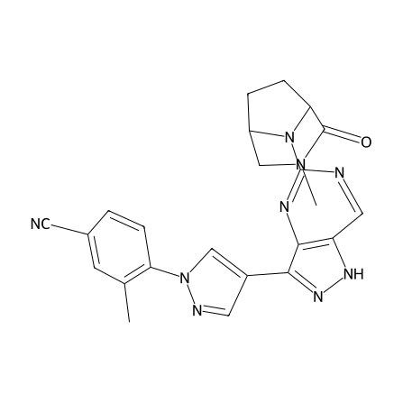 Cc1cc(C#N)ccc1-n1cc(-c2n[nH]c3cnc(N4C5CCC4C(=O)N(C)C5)nc23)cn1